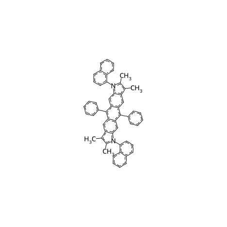 Cc1c(C)n(-c2cccc3ccccc23)c2cc3c(-c4ccccc4)c4cc5c(C)c(C)n(-c6cccc7ccccc67)c5cc4c(-c4ccccc4)c3cc12